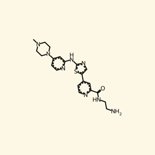 CN1CCN(c2ccnc(Nc3ncc(-c4ccnc(C(=O)NCCN)c4)s3)c2)CC1